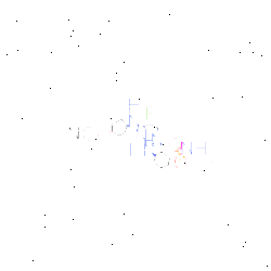 Cc1ccc(Nc2ncc(F)c(Nc3ccc(OC(C)C#N)cc3)n2)cc1S(N)(=O)=O